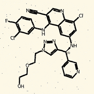 N#Cc1cnc2c(Cl)cc(N[C@@H](c3cccnc3)c3cn(CCOCCO)nn3)cc2c1Nc1ccc(F)c(Cl)c1